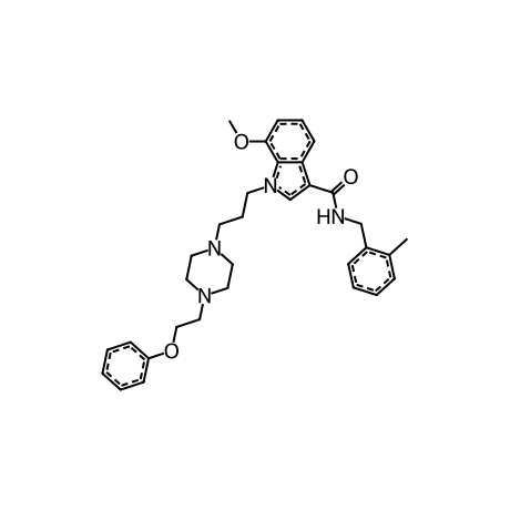 COc1cccc2c(C(=O)NCc3ccccc3C)cn(CCCN3CCN(CCOc4ccccc4)CC3)c12